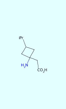 CC(C)C1CC(N)(CC(=O)O)C1